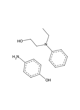 CCN(CCO)c1ccccc1.Nc1ccc(O)cc1